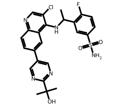 CC(Nc1c(Cl)cnc2ccc(-c3cnc(C(C)(C)O)nc3)cc12)c1cc(S(N)(=O)=O)ccc1F